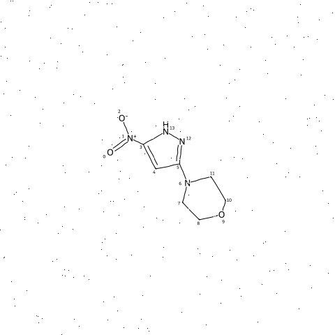 O=[N+]([O-])c1cc(N2CCOCC2)n[nH]1